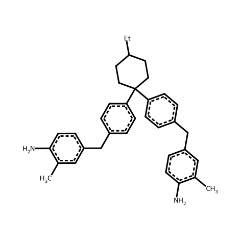 CCC1CCC(c2ccc(Cc3ccc(N)c(C)c3)cc2)(c2ccc(Cc3ccc(N)c(C)c3)cc2)CC1